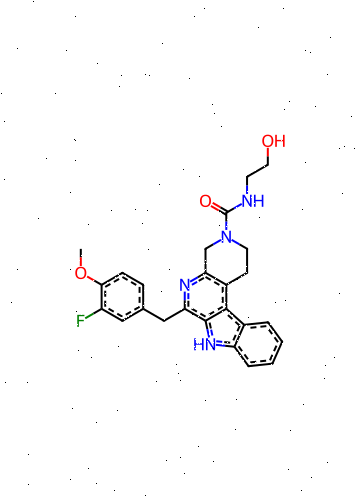 COc1ccc(Cc2nc3c(c4c2[nH]c2ccccc24)CCN(C(=O)NCCO)C3)cc1F